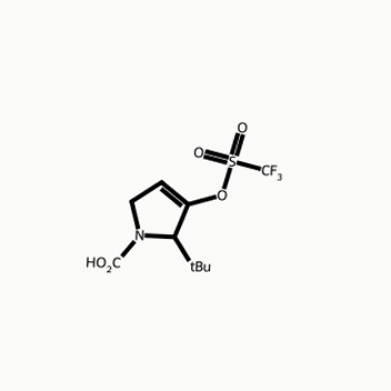 CC(C)(C)C1C(OS(=O)(=O)C(F)(F)F)=CCN1C(=O)O